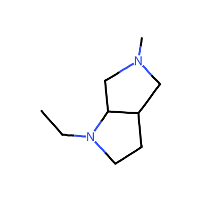 CCN1CCC2CN(C)CC21